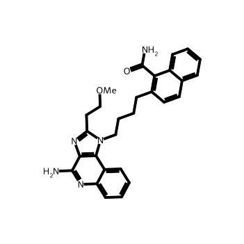 COCCc1nc2c(N)nc3ccccc3c2n1CCCCc1ccc2ccccc2c1C(N)=O